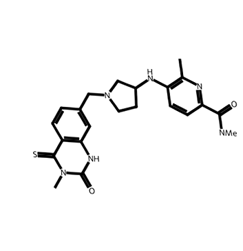 CNC(=O)c1ccc(NC2CCN(Cc3ccc4c(=S)n(C)c(=O)[nH]c4c3)C2)c(C)n1